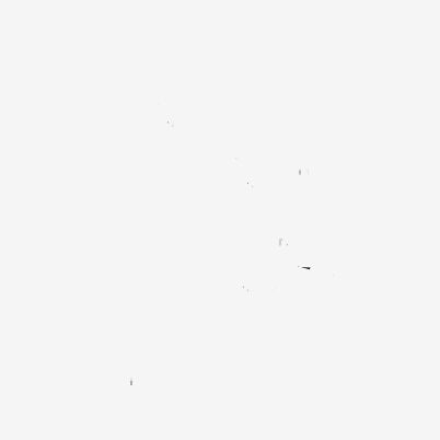 CCC(C)SC1CC(=O)N(CCC(=O)NC(C(=O)N[C@@H](C)C(=O)Nc2ccc(CC(C)C)cc2)C(C)C)C1=O